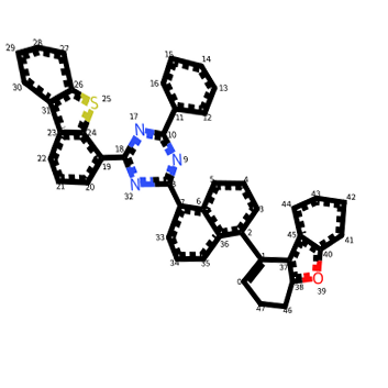 C1=C(c2cccc3c(-c4nc(-c5ccccc5)nc(-c5cccc6c5sc5ccccc56)n4)cccc23)c2c(oc3ccccc23)CC1